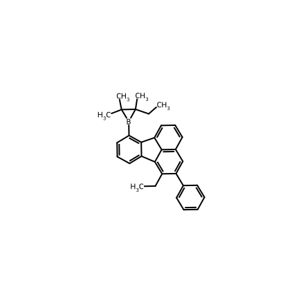 CCc1c(-c2ccccc2)cc2cccc3c2c1-c1cccc(B2C(C)(C)C2(C)CC)c1-3